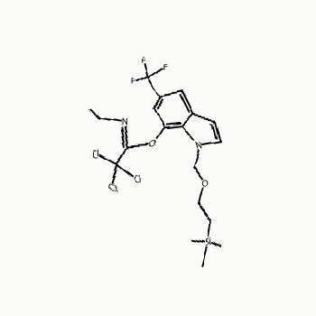 CCN=C(Oc1cc(C(F)(F)F)cc2ccn(COCC[Si](C)(C)C)c12)C(Cl)(Cl)Cl